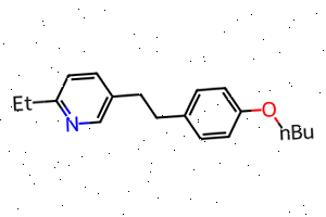 CCCCOc1ccc(CCc2ccc(CC)nc2)cc1